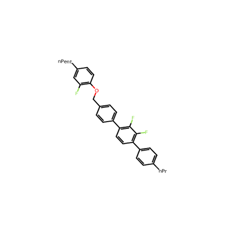 CCCCCc1ccc(OCc2ccc(-c3ccc(-c4ccc(CCC)cc4)c(F)c3F)cc2)c(F)c1